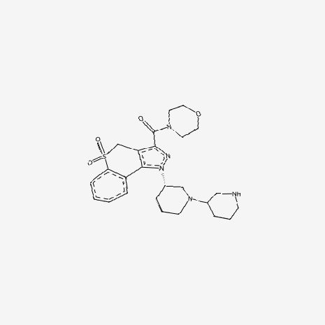 O=C(c1nn([C@H]2CCCN(C3CCCNC3)C2)c2c1CS(=O)(=O)c1ccccc1-2)N1CCOCC1